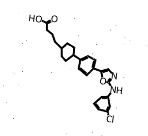 O=C(O)CCCC1CCC(c2ccc(-c3cnc(Nc4cccc(Cl)c4)o3)cc2)CC1